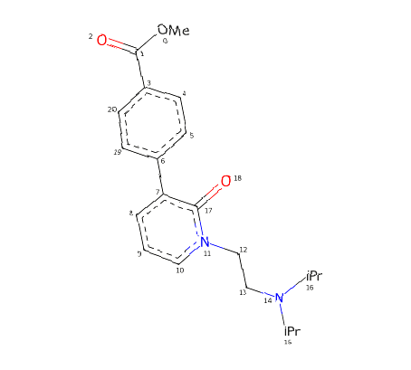 COC(=O)c1ccc(-c2cccn(CCN(C(C)C)C(C)C)c2=O)cc1